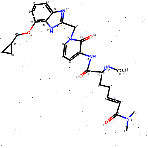 CN(C)C(=O)/C=C/CC[C@H](NC(=O)O)C(=O)Nc1cccn(Cc2nc3cccc(OCC4CC4)c3[nH]2)c1=O